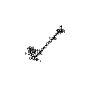 NC1=NC(=O)C(C[C@@H](OP(=O)(O)O)C(O)COP(=O)(O)O)C=C1CCCNC(=O)CCOCCOCCOCCOCCNC(=O)CCCC[C@@H]1SCC2NC(=O)N[C@@H]21